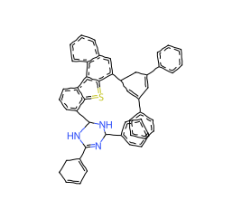 C1=CCCC(C2=NC(c3ccccc3)NC(c3cccc4c3sc3c(C5C=C(c6ccccc6)C=C(c6ccccc6)C5)cc5ccccc5c34)N2)=C1